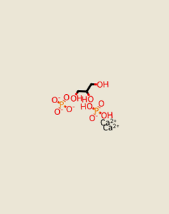 O=P([O-])(O)O.O=P([O-])([O-])[O-].OCC(O)CO.[Ca+2].[Ca+2]